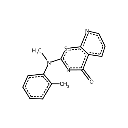 Cc1ccccc1N(C)c1nc(=O)c2cccnc2s1